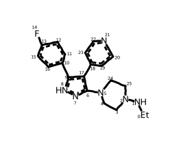 CCNN1CCN(c2n[nH]c(-c3ccc(F)cc3)c2-c2ccncc2)CC1